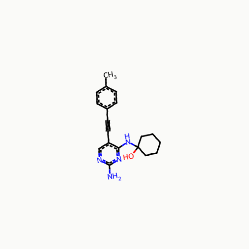 Cc1ccc(C#Cc2cnc(N)nc2NC2(O)CCCCC2)cc1